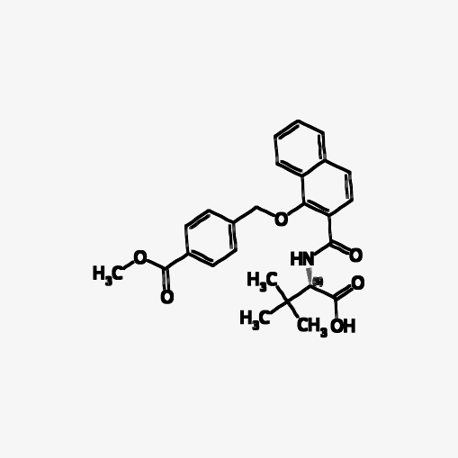 COC(=O)c1ccc(COc2c(C(=O)N[C@H](C(=O)O)C(C)(C)C)ccc3ccccc23)cc1